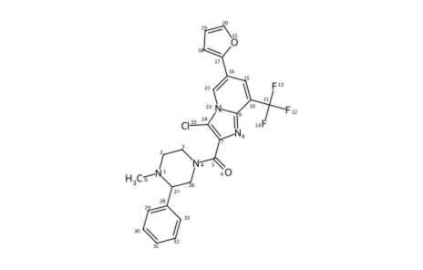 CN1CCN(C(=O)c2nc3c(C(F)(F)F)cc(-c4ccco4)cn3c2Cl)CC1c1ccccc1